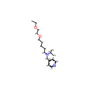 CCOCCOCCCCCN(Cc1ccncc1)C(C)C